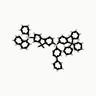 CC1(C)c2cc(N(c3ccc(-c4ccccc4)cc3)c3ccc4c(c3)C(c3ccccc3)(c3ccccc3)c3ccccc3-4)ccc2-c2ccc(N(c3ccccc3)c3cccc4ccccc34)cc21